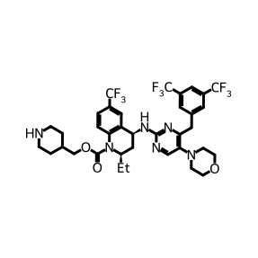 CC[C@@H]1C[C@H](Nc2ncc(N3CCOCC3)c(Cc3cc(C(F)(F)F)cc(C(F)(F)F)c3)n2)c2cc(C(F)(F)F)ccc2N1C(=O)OCC1CCNCC1